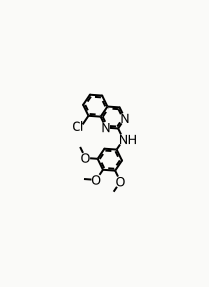 COc1cc(Nc2ncc3cccc(Cl)c3n2)cc(OC)c1OC